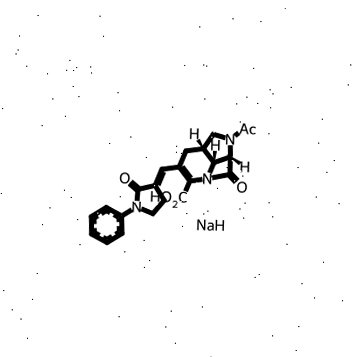 CC(=O)N1C[C@H]2CC(/C=C3\CCN(c4ccccc4)C3=O)=C(C(=O)O)N3C(=O)[C@@H]1[C@@H]23.[NaH]